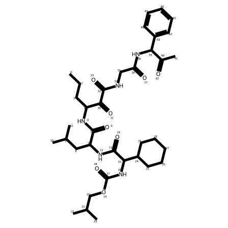 CCCC(NC(=O)C(CC(C)C)NC(=O)C(NC(=O)OCC(C)C)C1CCCCC1)C(=O)C(=O)NCC(=O)NC(C(C)=O)c1ccccc1